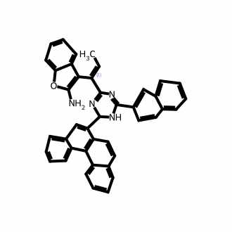 C/C=C(/C1=NC(c2cc3ccccc3c3c2ccc2ccccc23)NC(c2ccc3ccccc3c2)=N1)c1c(N)oc2ccccc12